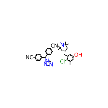 CN1C(C)(C)CCCC1(C)C.Cc1cc(O)cc(C)c1Cl.N#Cc1ccc(C(c2ccc(C#N)cc2)n2cncn2)cc1